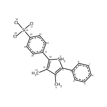 CC1=C(c2ccccc2)[SiH2]C(c2ccc([Si](Cl)(Cl)Cl)cc2)=C1C